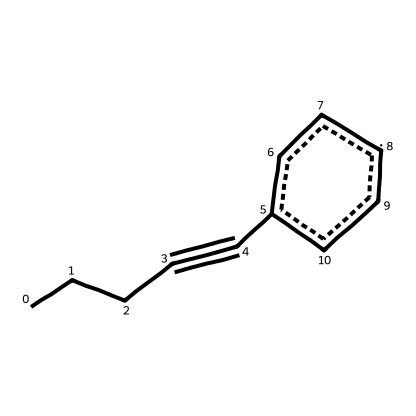 CCCC#Cc1cc[c]cc1